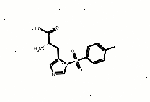 Cc1ccc(S(=O)(=O)n2cncc2C[C@H](N)C(=O)O)cc1